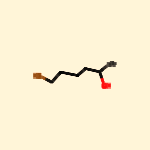 CCCC(O)CCCCS